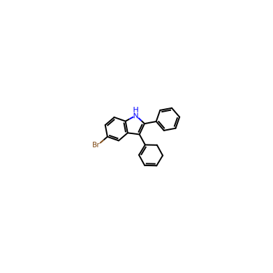 Brc1ccc2[nH]c(-c3ccccc3)c(C3=CC=CCC3)c2c1